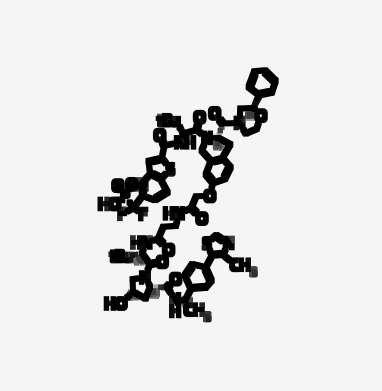 Cc1ncsc1-c1ccc([C@H](C)NC(=O)[C@@H]2C[C@@H](O)CN2C(=O)[C@@H](NC(=O)CCNC(=O)COc2ccc3c(c2)CN(C(=O)[C@@H](NC(=O)c2cc4cc(C(F)(F)P(=O)(O)O)ccc4s2)C(C)(C)C)[C@H](C(=O)N2CCO[C@H](c4ccccc4)C2)C3)C(C)(C)C)cc1